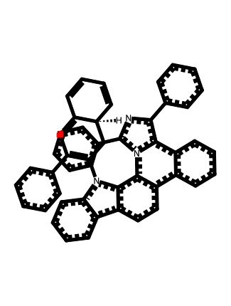 C1=CC2=NC(c3ccccc3)=C(n3c4ccccc4c4ccc5c6ccccc6c6c(-c7ccccc7)nc(-c7ccccc7)n6c5c43)C[C@@H]2C=C1